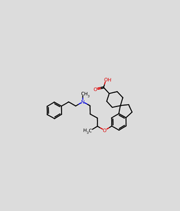 CC(CCCN(C)CCc1ccccc1)Oc1ccc2c(c1)C1(CC2)CCC(C(=O)O)CC1